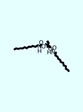 C=CC(C)(COC(=O)NCCCCCCCCCCCC)COC(=O)NCCCCCCCCCCCC